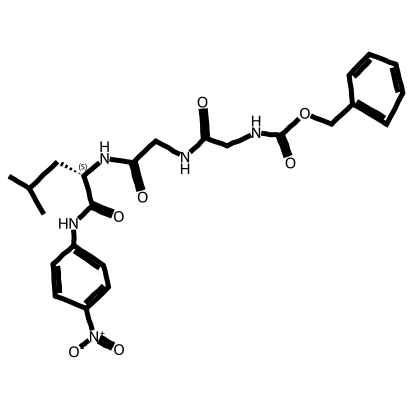 CC(C)C[C@H](NC(=O)CNC(=O)CNC(=O)OCc1ccccc1)C(=O)Nc1ccc([N+](=O)[O-])cc1